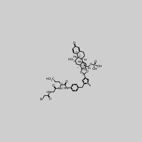 Cn1cc([C@@H]2O[C@@H]3C[C@H]4[C@@H]5CCC6=CC(=O)C=C[C@]6(C)[C@H]5[C@@H](O)C[C@]4(C)[C@]3(C(=O)COP(=O)(O)O)O2)cc1Cc1ccc(NC(=O)[C@H](CCC(=O)O)NC(=O)CNC(=O)CBr)cc1